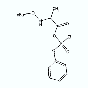 CCCCONC(C)C(=O)OP(=O)(Cl)Oc1ccccc1